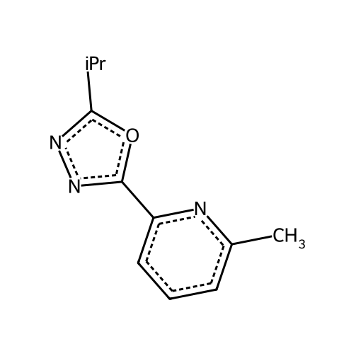 Cc1cccc(-c2nnc(C(C)C)o2)n1